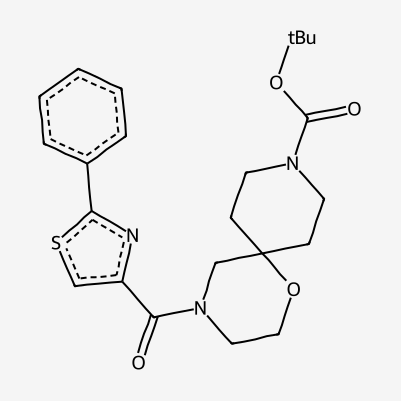 CC(C)(C)OC(=O)N1CCC2(CC1)CN(C(=O)c1csc(-c3ccccc3)n1)CCO2